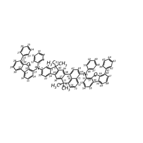 CC1(C)c2cc(N(c3ccccc3)c3cccc4c3oc3c(-c5ccccc5)cccc34)ccc2-c2cc3c(cc21)-c1ccc(N(c2ccccc2)c2cccc4c2oc2c(-c5ccccc5)cccc24)c2cccc(c12)C3(C)C